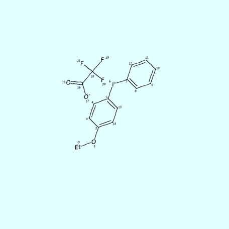 CCOc1ccc([I+]c2ccccc2)cc1.O=C([O-])C(F)(F)F